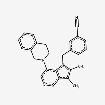 Cc1c(C)n(Cc2cccc(C#N)c2)c2c(N3CCc4ccccc4C3)cncc12